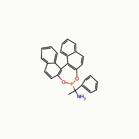 CC(N)(c1ccccc1)p1oc2ccc3ccccc3c2c2c(ccc3ccccc32)o1